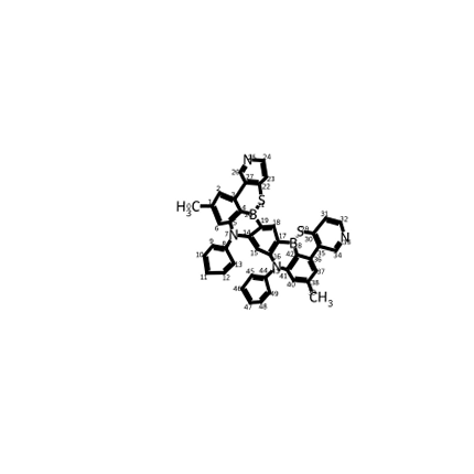 Cc1cc2c3c(c1)N(c1ccccc1)c1cc4c(cc1B3Sc1ccncc1-2)B1Sc2ccncc2-c2cc(C)cc(c21)N4c1ccccc1